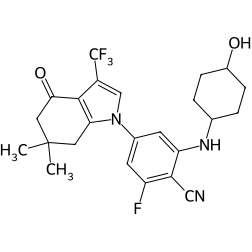 CC1(C)CC(=O)c2c(C(F)(F)F)cn(-c3cc(F)c(C#N)c(NC4CCC(O)CC4)c3)c2C1